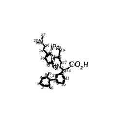 Cc1cccc(C)c1-c1cccc([C@H](CC(=O)O)NCC(CC(C)C)n2cc(CCN(C)C)ccc2=O)c1